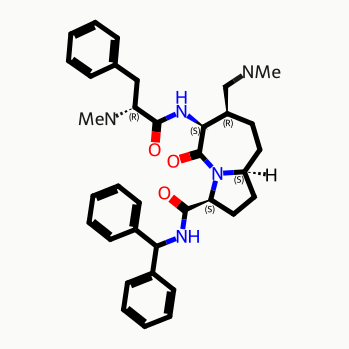 CNC[C@H]1CC[C@H]2CC[C@@H](C(=O)NC(c3ccccc3)c3ccccc3)N2C(=O)[C@H]1NC(=O)[C@@H](Cc1ccccc1)NC